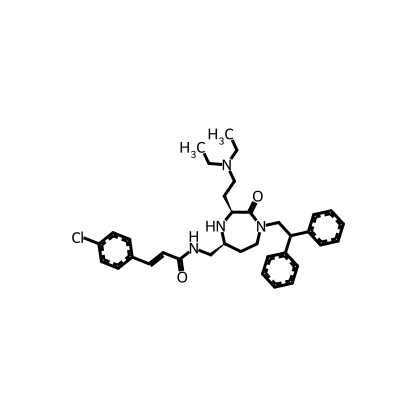 CCN(CC)CC[C@@H]1N[C@H](CNC(=O)C=Cc2ccc(Cl)cc2)CCN(CC(c2ccccc2)c2ccccc2)C1=O